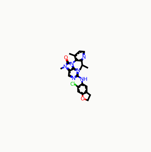 Cc1ccnc(C(C)C)c1-n1c(=O)n(C)c2cnc(Nc3cc4c(cc3Cl)OCC4)nc21